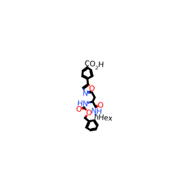 CCCCCCNC(=O)C(Cc1ncc(-c2ccc(C(=O)O)cc2)o1)NC(=O)OCc1ccccc1